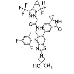 CC1(O)CN(c2nc3nc([C@H](Cc4cc(F)cc(F)c4)NC(=O)Cn4nc(C(F)(F)F)c5c4C(F)(F)[C@@H]4CC54)c(-c4ccc5c(c4)C(=O)NC54CC4)cc3s2)C1